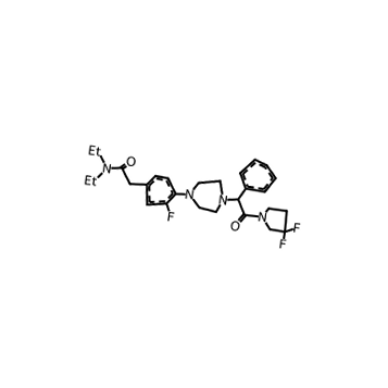 CCN(CC)C(=O)Cc1ccc(N2CCN(C(C(=O)N3CCC(F)(F)C3)c3ccccc3)CC2)c(F)c1